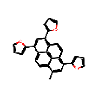 Cc1cc(-c2ccco2)c2ccc3c(-c4ccco4)cc(-c4ccco4)c4ccc1c2c43